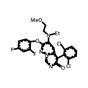 CCN(CCOC)c1cc2c(-c3c(Cl)cccc3Cl)c(=O)ncn2nc1Oc1ccc(F)cc1F